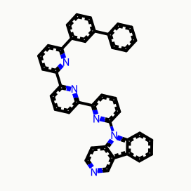 c1ccc(-c2cccc(-c3cccc(-c4cccc(-c5cccc(-n6c7ccccc7c7cnccc76)n5)n4)n3)c2)cc1